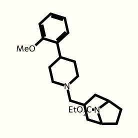 CCOC(=O)N1C2CCC1CC(CN1CCC(c3ccccc3OC)CC1)C2